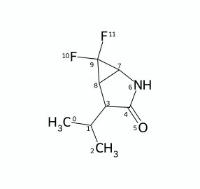 CC(C)C1C(=O)NC2C1C2(F)F